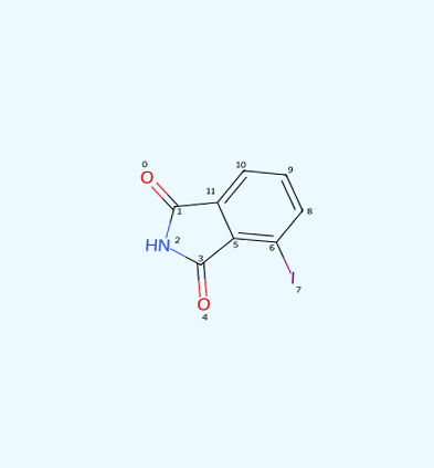 O=C1NC(=O)c2c(I)cccc21